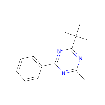 Cc1nc(-c2ccccc2)nc(C(C)(C)C)n1